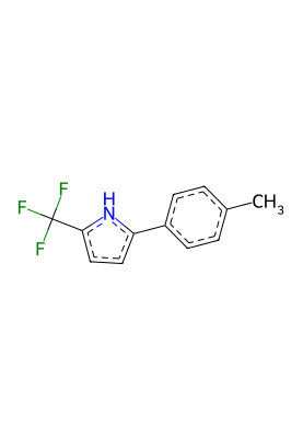 Cc1ccc(-c2ccc(C(F)(F)F)[nH]2)cc1